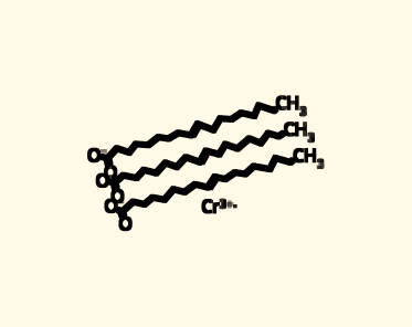 CCCCCCCCC=CCCCCCCCC(=O)[O-].CCCCCCCCC=CCCCCCCCC(=O)[O-].CCCCCCCCC=CCCCCCCCC(=O)[O-].[Cr+3]